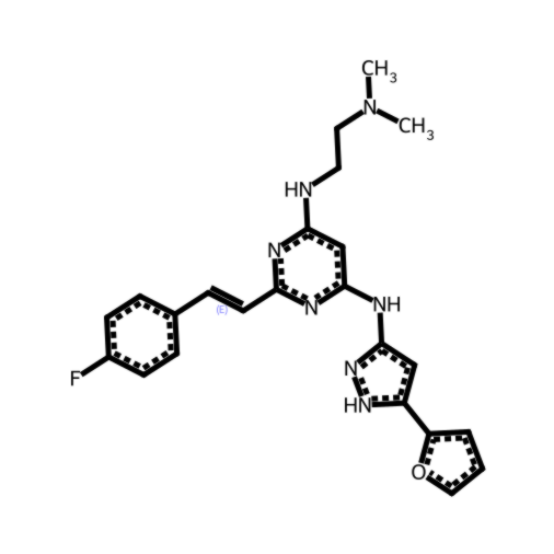 CN(C)CCNc1cc(Nc2cc(-c3ccco3)[nH]n2)nc(/C=C/c2ccc(F)cc2)n1